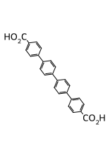 O=C(O)c1ccc(-c2ccc(-c3ccc(-c4ccc(C(=O)O)cc4)cc3)cc2)cc1